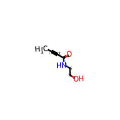 CC#CC(=O)NCCO